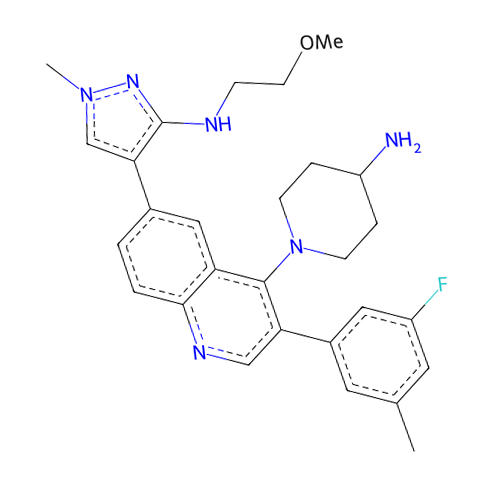 COCCNc1nn(C)cc1-c1ccc2ncc(-c3cc(C)cc(F)c3)c(N3CCC(N)CC3)c2c1